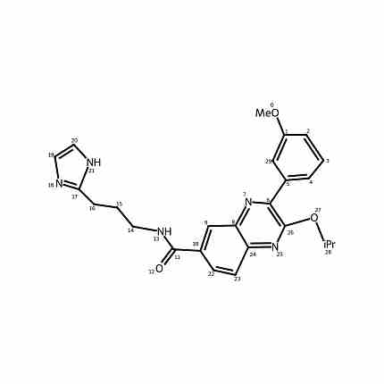 COc1cccc(-c2nc3cc(C(=O)NCCCc4ncc[nH]4)ccc3nc2OC(C)C)c1